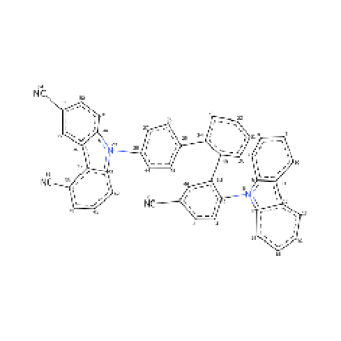 N#Cc1ccc(-n2c3ccccc3c3ccccc32)c(-c2ccccc2-c2ccc(-n3c4ccc(C#N)cc4c4c(C#N)cccc43)cc2)c1